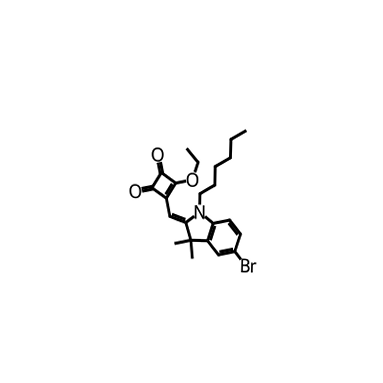 CCCCCCN1C(=Cc2c(OCC)c(=O)c2=O)C(C)(C)c2cc(Br)ccc21